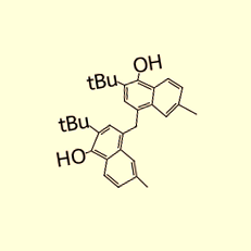 Cc1ccc2c(O)c(C(C)(C)C)cc(Cc3cc(C(C)(C)C)c(O)c4ccc(C)cc34)c2c1